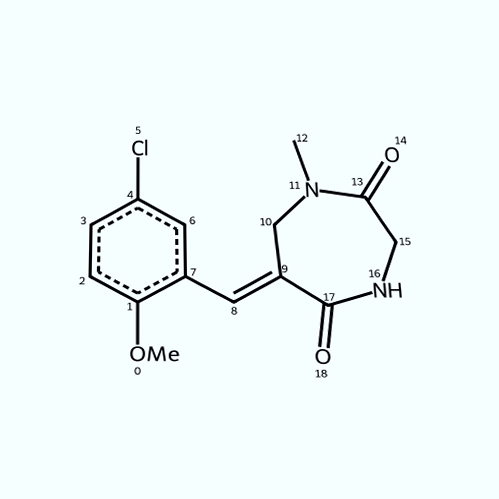 COc1ccc(Cl)cc1C=C1CN(C)C(=O)CNC1=O